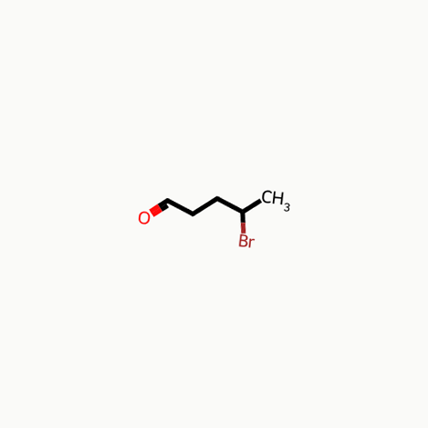 CC(Br)CCC=O